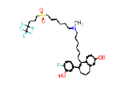 CN(CCCCCCC1=C(c2ccc(F)c(O)c2)CCCc2cc(O)ccc21)CCCCCCS(=O)(=O)CCCC(F)(F)C(F)(F)F